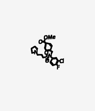 COC(=O)c1ccc(CN(c2ccc(F)c(Cl)c2)S(=O)(=O)CCCN2CCCC2)cc1